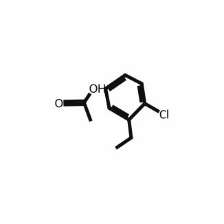 CC(=O)O.CCc1ccccc1Cl